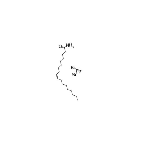 CCCCCCCC/C=C\CCCCCCCC(N)=O.[Br][Pb][Br]